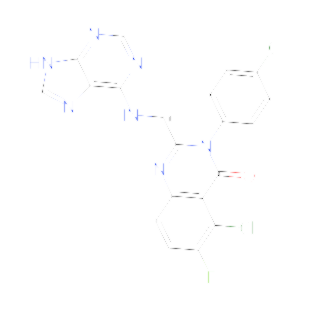 C[C@@H](Nc1ncnc2[nH]cnc12)c1nc2ccc(F)c(Cl)c2c(=O)n1-c1ccc(Cl)cc1